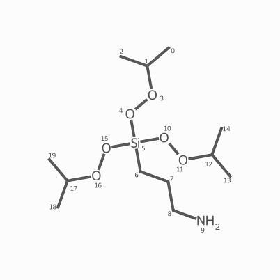 CC(C)OO[Si](CCCN)(OOC(C)C)OOC(C)C